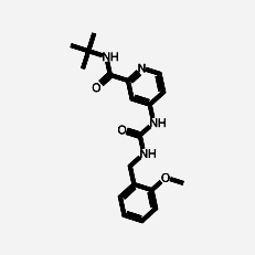 COc1ccccc1CNC(=O)Nc1ccnc(C(=O)NC(C)(C)C)c1